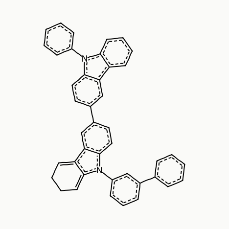 C1=c2c(n(-c3cccc(-c4ccccc4)c3)c3ccc(-c4ccc5c(c4)c4ccccc4n5-c4ccccc4)cc23)=CCC1